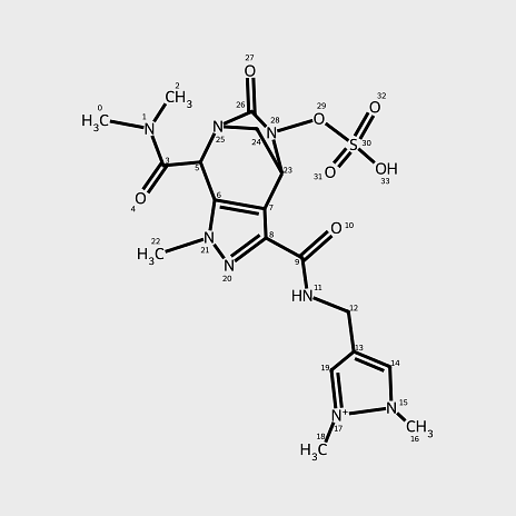 CN(C)C(=O)C1c2c(c(C(=O)NCc3cn(C)[n+](C)c3)nn2C)C2CN1C(=O)N2OS(=O)(=O)O